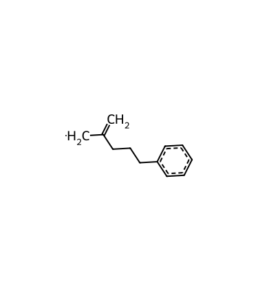 [CH2]C(=C)CCCc1ccccc1